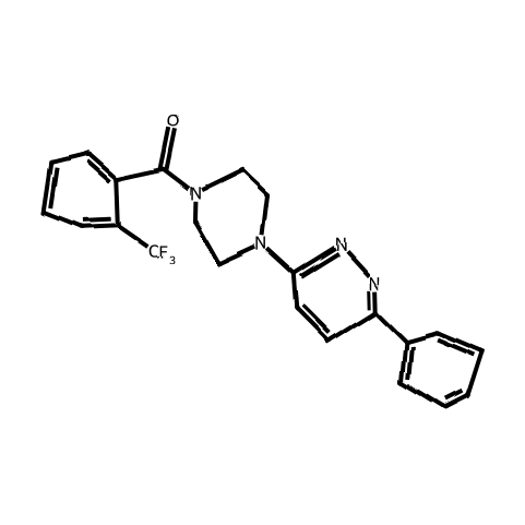 O=C(c1ccccc1C(F)(F)F)N1CCN(c2ccc(-c3ccccc3)nn2)CC1